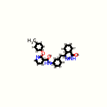 Cc1ccc(Oc2ncccc2C(=O)Nc2cccc(Cc3n[nH]c(=O)c4ccccc34)c2)cc1